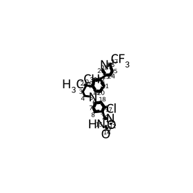 CC1(C)CCN(c2ccc(-c3noc(=O)[nH]3)c(Cl)c2)c2ccc(-c3ccc(C(F)(F)F)nc3)cc21